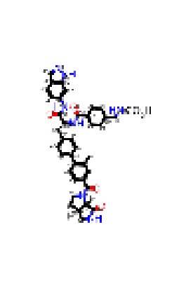 Cc1cc(C(=O)N2CC[C@@H]3CNC(=O)[C@H]32)ccc1-c1ccc(C[C@H](NC(=O)C2CCC(CNC(=O)O)CC2)C(=O)Nc2ccc3cn[nH]c3c2)cc1